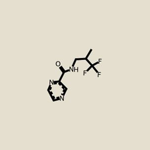 CC(CNC(=O)c1cnccn1)C(F)(F)F